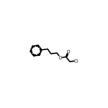 O=C(CCl)OCCCc1ccccc1